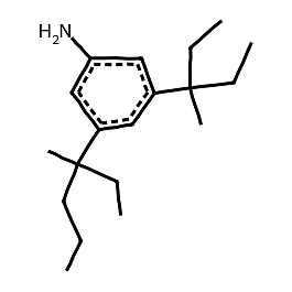 CCCC(C)(CC)c1cc(N)cc(C(C)(CC)CC)c1